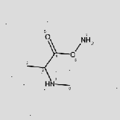 CNC(C)C(=O)ON